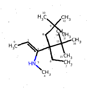 C/C=C(\NC)C(CC)(CC(C)(C)C)C(C)(C)C